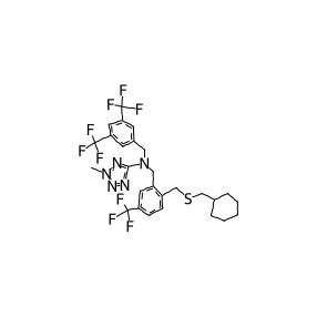 Cn1nnc(N(Cc2cc(C(F)(F)F)cc(C(F)(F)F)c2)Cc2cc(C(F)(F)F)ccc2CSCC2CCCCC2)n1